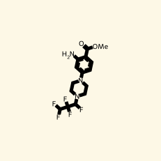 COC(=O)c1ccc(N2CCN(C(F)C(F)(F)C(F)F)CC2)cc1N